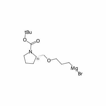 CC(C)(C)OC(=O)N1CCC[C@H]1COCC[CH2][Mg][Br]